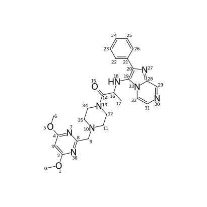 COc1cc(OC)nc(CN2CCN(C(=O)C(C)Nc3c(-c4ccccc4)nc4cnccn34)CC2)n1